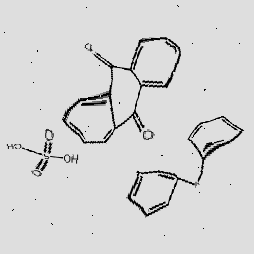 O=C1c2ccccc2C(=O)c2ccccc21.O=S(=O)(O)O.c1ccc([I+]c2ccccc2)cc1